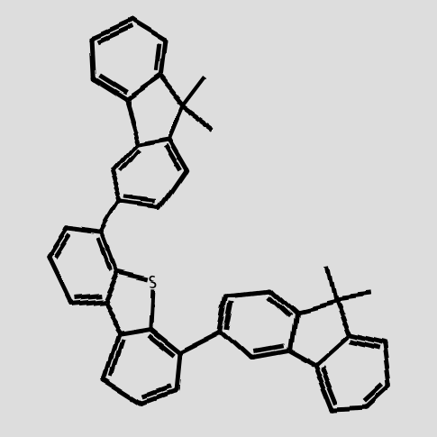 CC1(C)c2ccccc2-c2cc(-c3cccc4c3sc3c(-c5ccc6c(c5)-c5ccccc5C6(C)C)cccc34)ccc21